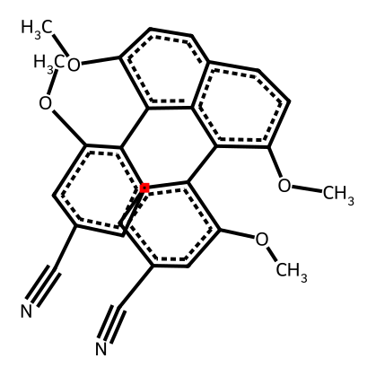 COc1cc(C#N)ccc1-c1c(OC)ccc2ccc(OC)c(-c3ccc(C#N)cc3OC)c12